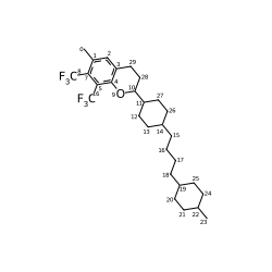 Cc1cc2c(c(C(F)(F)F)c1C(F)(F)F)OC(C1CCC(CCCCC3CCC(C)CC3)CC1)CC2